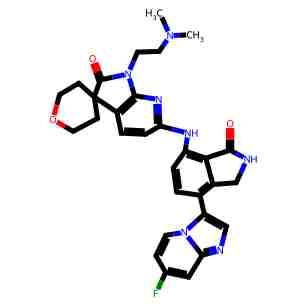 CN(C)CCN1C(=O)C2(CCOCC2)c2ccc(Nc3ccc(-c4cnc5cc(F)ccn45)c4c3C(=O)NC4)nc21